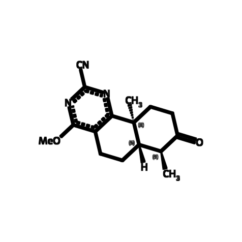 COc1nc(C#N)nc2c1CC[C@H]1[C@H](C)C(=O)CC[C@]21C